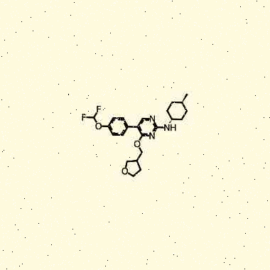 C[C@H]1CC[C@H](Nc2ncc(-c3ccc(OC(F)F)cc3)c(OCC3CCOC3)n2)CC1